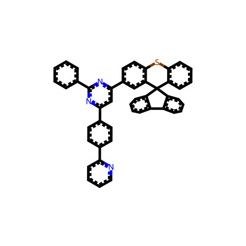 c1ccc(-c2nc(-c3ccc(-c4ccccn4)cc3)cc(-c3ccc4c(c3)C3(c5ccccc5S4)c4ccccc4-c4ccccc43)n2)cc1